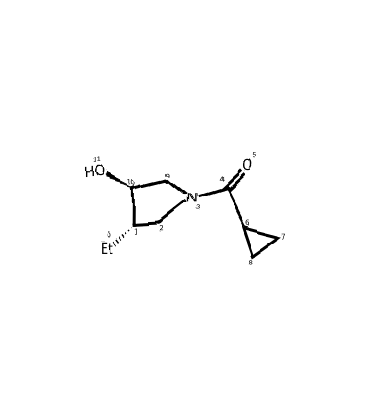 CC[C@H]1CN(C(=O)C2CC2)C[C@@H]1O